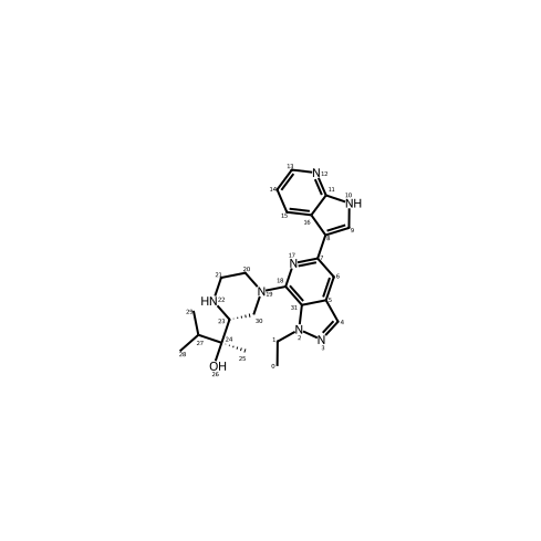 CCn1ncc2cc(-c3c[nH]c4ncccc34)nc(N3CCN[C@@H]([C@@](C)(O)C(C)C)C3)c21